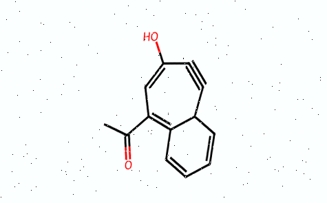 CC(=O)C1=C2C=CC=CC2C#CC(O)=C1